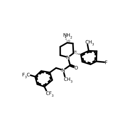 Cc1cc(F)ccc1[C@H]1C[C@@H](N)CCN1C(=O)N(C)Cc1cc(C(F)(F)F)cc(C(F)(F)F)c1